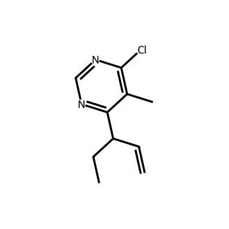 C=CC(CC)c1ncnc(Cl)c1C